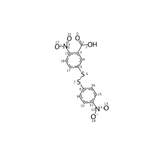 O=C(O)c1cc(SSc2ccc([N+](=O)[O-])cc2)ccc1[N+](=O)[O-]